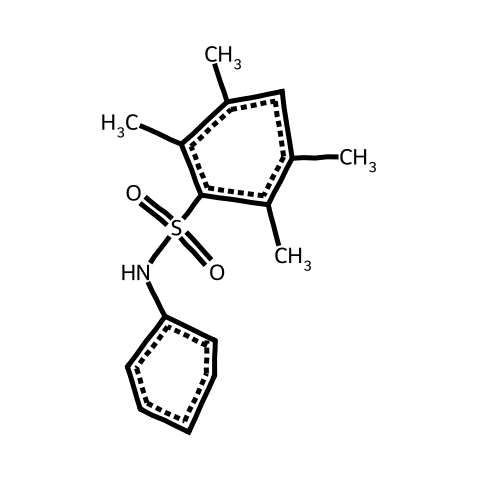 Cc1cc(C)c(C)c(S(=O)(=O)Nc2ccccc2)c1C